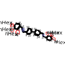 CCCCCCOc1ccc(/C=C/c2ccc(-c3ccc(/C=C/c4ccc(OCCCCCC)c(OCCCCCC)c4OCCCCCC)cc3)cc2)c(OCCCCCC)c1OCCCCCC